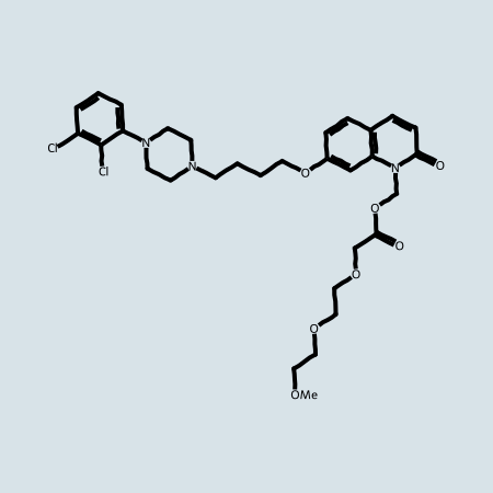 COCCOCCOCC(=O)OCn1c(=O)ccc2ccc(OCCCCN3CCN(c4cccc(Cl)c4Cl)CC3)cc21